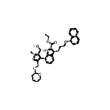 CCOC(=O)c1[nH]c2c(-c3c(COC4CCCCO4)nn(C)c3CO)cccc2c1CCCOc1cccc2ccccc12